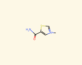 C[n+]1csc(C(N)=O)c1